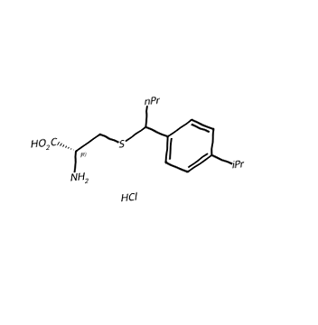 CCCC(SC[C@H](N)C(=O)O)c1ccc(C(C)C)cc1.Cl